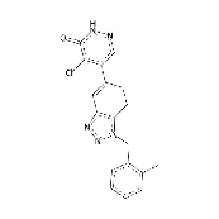 Cc1ccccc1Cn1nnc2c1CCC(c1cn[nH]c(=O)c1Cl)=C2